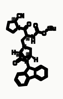 CC(C)(C)OC(=O)N[C@@H](CN1C[C@@H]2C[C@H]1C(=O)N2C1c2ccccc2-c2ccccc21)C(=O)N1CCC[C@H]1C#N